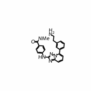 CNC(=O)c1ccc(Nc2nc3cccc(-c4cccc(CCN)c4)n3n2)cc1